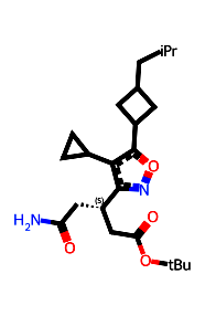 CC(C)CC1CC(c2onc([C@@H](CC(N)=O)CC(=O)OC(C)(C)C)c2C2CC2)C1